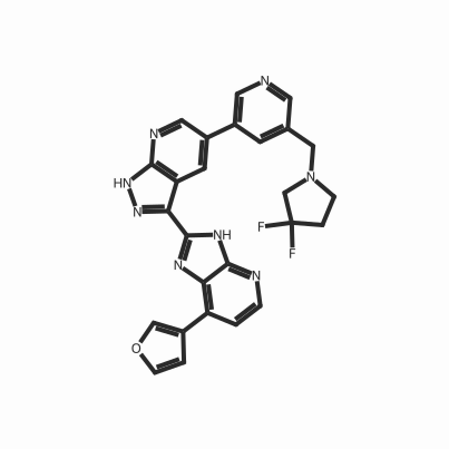 FC1(F)CCN(Cc2cncc(-c3cnc4[nH]nc(-c5nc6c(-c7ccoc7)ccnc6[nH]5)c4c3)c2)C1